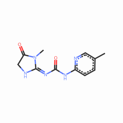 Cc1ccc(NC(=O)N=C2NCC(=O)N2C)nc1